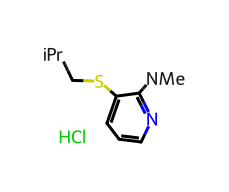 CNc1ncccc1SCC(C)C.Cl